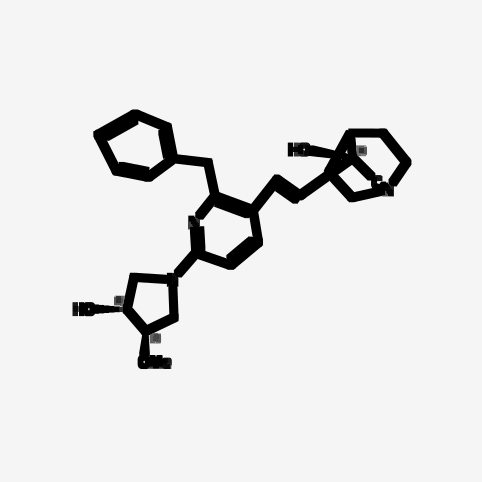 CO[C@@H]1CN(c2ccc(C=C[C@@]3(O)CN4CCC3CC4)c(Cc3ccccc3)n2)C[C@H]1O